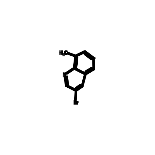 Cc1c[c]cc2cc(Br)cnc12